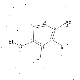 CCOc1ccc(C(C)=O)c(C)c1C